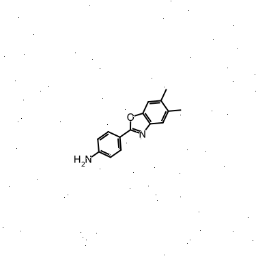 Cc1cc2nc(-c3ccc(N)cc3)oc2cc1C